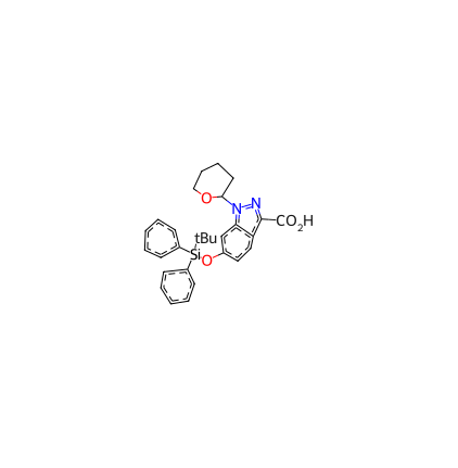 CC(C)(C)[Si](Oc1ccc2c(C(=O)O)nn(C3CCCCO3)c2c1)(c1ccccc1)c1ccccc1